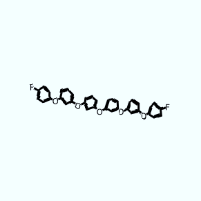 Fc1ccc(Oc2cccc(Oc3cccc(Oc4cccc(Oc5cccc(Oc6ccc(F)cc6)c5)c4)c3)c2)cc1